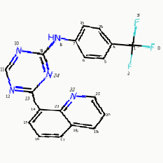 FC(F)(F)c1ccc(Nc2ncnc(-c3cccc4cccnc34)n2)cc1